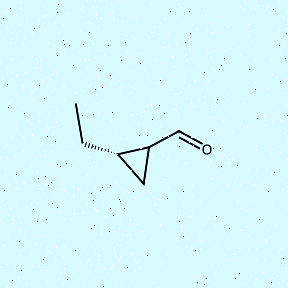 CC[C@H]1CC1C=O